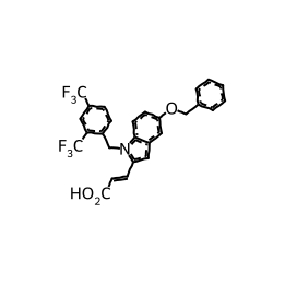 O=C(O)C=Cc1cc2cc(OCc3ccccc3)ccc2n1Cc1ccc(C(F)(F)F)cc1C(F)(F)F